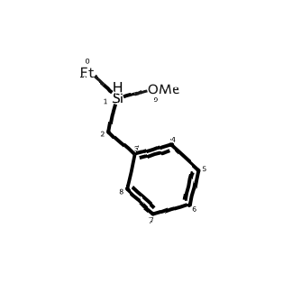 CC[SiH](Cc1ccccc1)OC